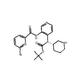 CC(C)(C)OC(=O)N(c1ccncc1NC(=O)c1cccc(Br)n1)[C@H]1CCCNC1